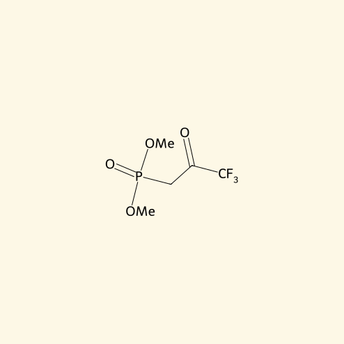 COP(=O)(CC(=O)C(F)(F)F)OC